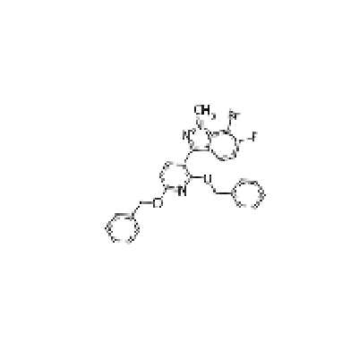 Cn1nc(-c2ccc(OCc3ccccc3)nc2OCc2ccccc2)c2ccc(F)c(Br)c21